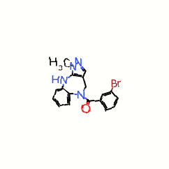 Cn1ncc2c1Nc1ccccc1N(C(=O)c1cccc(Br)c1)C2